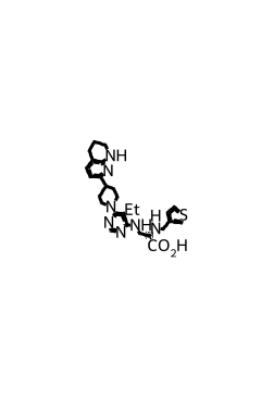 CCc1c(NC[C@H](NCc2ccsc2)C(=O)O)ncnc1N1CCC(c2ccc3c(n2)NCCC3)CC1